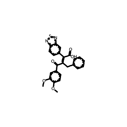 COc1ccc(C(=O)C(Cc2ccccc2)=C(C(=O)O)c2ccc3nsnc3c2)cc1OC